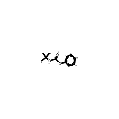 CC(C)(C)OC(=O)Oc1cc[c]cc1